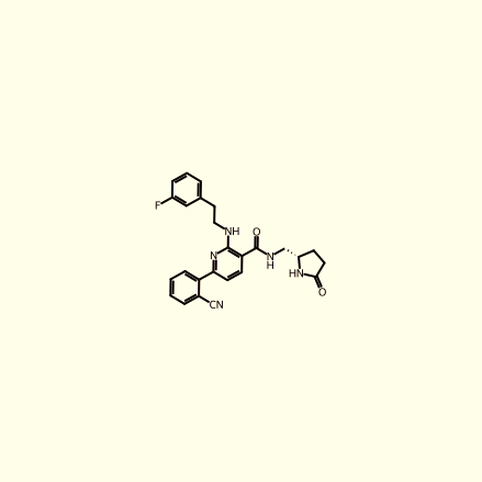 N#Cc1ccccc1-c1ccc(C(=O)NC[C@@H]2CCC(=O)N2)c(NCCc2cccc(F)c2)n1